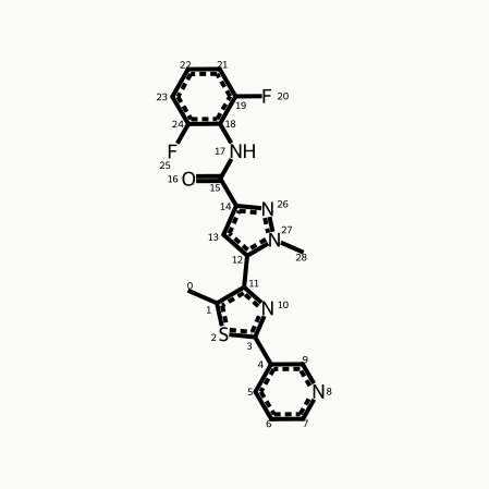 Cc1sc(-c2cccnc2)nc1-c1cc(C(=O)Nc2c(F)cccc2F)nn1C